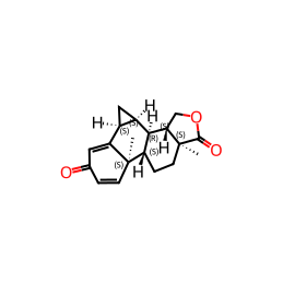 C[C@]12C=CC(=O)C=C1[C@H]1C[C@H]1[C@@H]1[C@@H]2CC[C@]2(C)C(=O)OC[C@@H]12